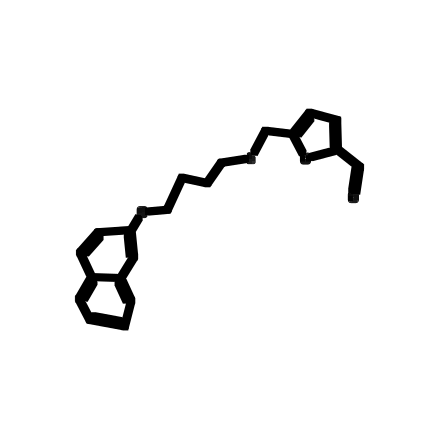 O=Cc1ccc(CSCCCCOc2ccc3ccccc3c2)o1